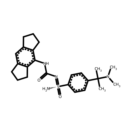 CN(C)C(C)(C)c1ccc([S@@](N)(=O)=NC(=O)Nc2c3c(cc4c2CCC4)CCC3)cc1